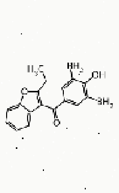 Bc1cc(C(=O)c2c(CC)oc3ccccc23)cc(B)c1O